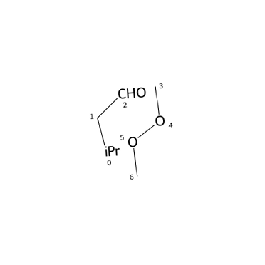 CC(C)CC=O.COOC